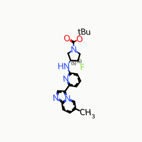 Cc1ccc2ncc(-c3cccc(N[C@H]4CN(C(=O)OC(C)(C)C)C[C@@H]4F)n3)n2c1